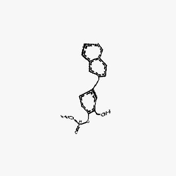 O=[PH](O)Oc1ccc(-c2ccc3ccccc3c2)cc1O